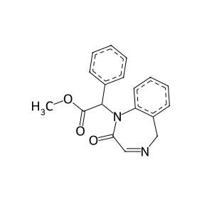 COC(=O)C(c1ccccc1)N1C(=O)C=NCc2ccccc21